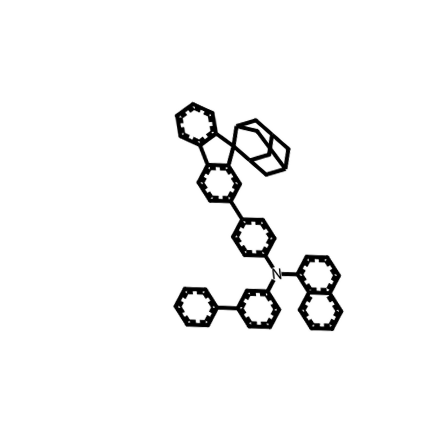 c1ccc(-c2cccc(N(c3ccc(-c4ccc5c(c4)C4(c6ccccc6-5)C5CC6CC(C5)CC4C6)cc3)c3cccc4ccccc34)c2)cc1